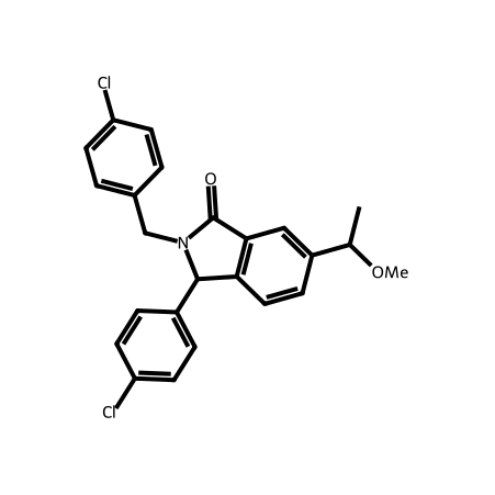 COC(C)c1ccc2c(c1)C(=O)N(Cc1ccc(Cl)cc1)C2c1ccc(Cl)cc1